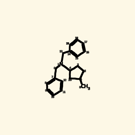 CC1[CH]CC(N(Cc2ccccc2)Cc2ccccc2)C1